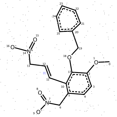 COc1ccc(C[N+](=O)[O-])c(/C=C/C[N+](=O)[O-])c1OCc1ccccc1